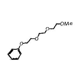 COCCOCCOCCOc1cc[c]cc1